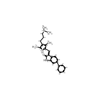 Cc1[nH]c(/C=C2\C(=O)Nc3cc(-c4ccccc4)ccc32)c(C)c1CCCN(C)C